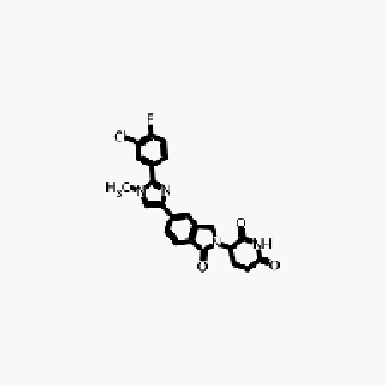 Cn1cc(-c2ccc3c(c2)CN(C2CCC(=O)NC2=O)C3=O)nc1-c1ccc(F)c(Cl)c1